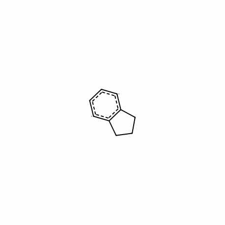 [c]1cc[c]c2c1CCC2